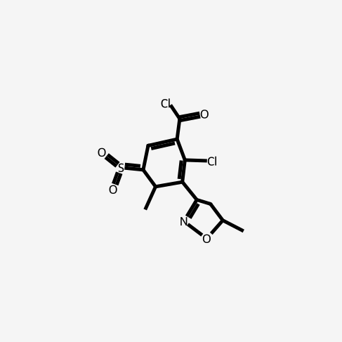 CC1CC(C2=C(Cl)C(C(=O)Cl)=CC(=S(=O)=O)C2C)=NO1